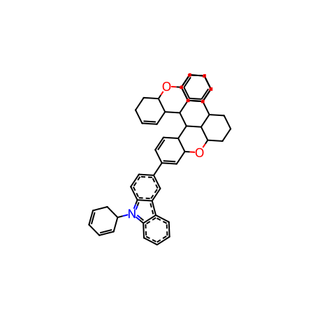 C1=CCC(n2c3ccccc3c3cc(C4=CC5OC6CCCC(C7=CCCC=C7)C6C(C6C7=CCCC=C7OC7CCC=CC76)C5C=C4)ccc32)C=C1